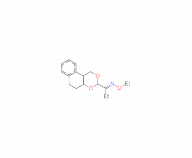 CCON=C(CC)C1OCC2c3ccccc3CCC2O1